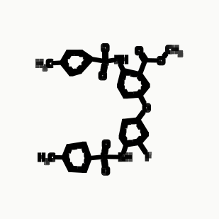 COC(=O)c1cc(Oc2ccc(NS(=O)(=O)c3ccc(C)cc3)c(F)c2)ccc1NS(=O)(=O)c1ccc(C)cc1